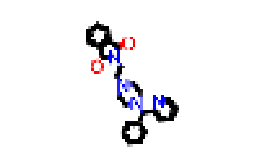 O=C1c2ccccc2C(=O)N1CCN1CCN(C(c2ccccc2)c2ccccn2)CC1